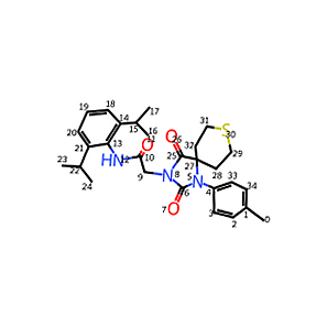 Cc1ccc(N2C(=O)N(CC(=O)Nc3c(C(C)C)cccc3C(C)C)C(=O)C23CCSCC3)cc1